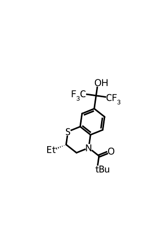 CC[C@H]1CN(C(=O)C(C)(C)C)c2ccc(C(O)(C(F)(F)F)C(F)(F)F)cc2S1